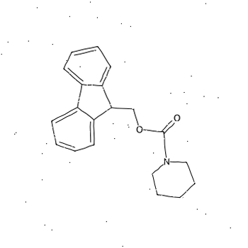 O=C(OCC1c2ccccc2-c2ccccc21)N1CC[CH]CC1